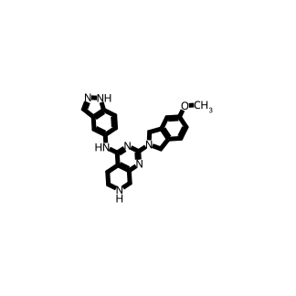 COc1ccc2c(c1)CN(c1nc3c(c(Nc4ccc5[nH]ncc5c4)n1)CCNC3)C2